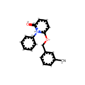 N#Cc1cccc(COc2cccc(=O)n2-c2ccccc2)c1